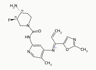 C=C/C(=N\c1cc(NC(=O)N2CC[C@@H](N)[C@H](F)C2)ncc1C)c1cnc(C)o1